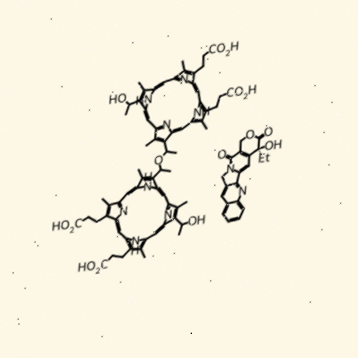 CC1=C(CCC(=O)O)c2cc3[nH]c(cc4nc(cc5[nH]c(cc1n2)c(C)c5C(C)OC(C)C1=C(C)c2cc5[nH]c(cc6nc(cc7[nH]c(cc1n2)c(C)c7CCC(=O)O)C(CCC(=O)O)=C6C)c(C)c5C(C)O)C(C)=C4C(C)O)c(C)c3CCC(=O)O.CC[C@@]1(O)C(=O)OCc2c1cc1n(c2=O)Cc2cc3ccccc3nc2-1